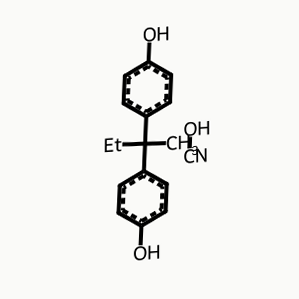 CCC(C)(c1ccc(O)cc1)c1ccc(O)cc1.N#CO